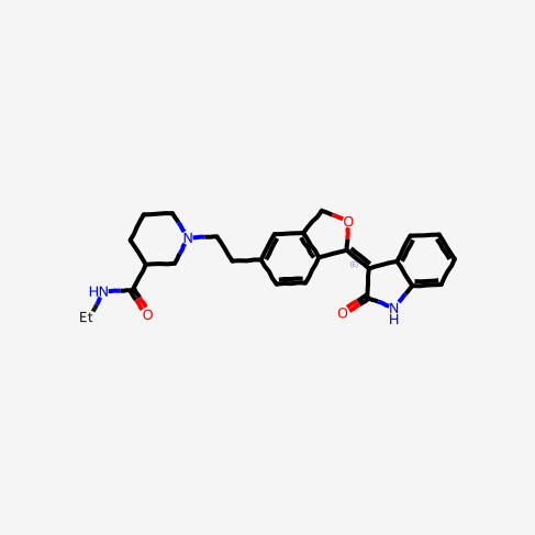 CCNC(=O)C1CCCN(CCc2ccc3c(c2)CO/C3=C2/C(=O)Nc3ccccc32)C1